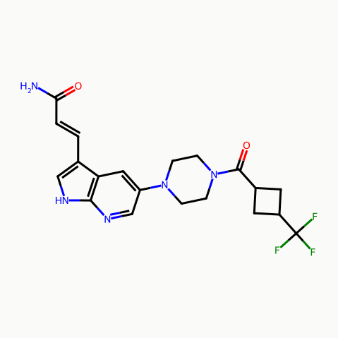 NC(=O)C=Cc1c[nH]c2ncc(N3CCN(C(=O)C4CC(C(F)(F)F)C4)CC3)cc12